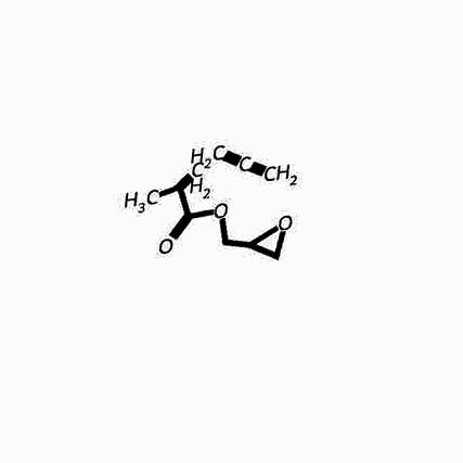 C=C(C)C(=O)OCC1CO1.C=C=C